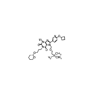 CCn1c(=O)n(CCCOC2CCCCO2)c(=O)c2c1nc(-c1ccc(OC3CCC3)nc1)n2COCCS(C)(C)C